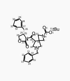 CC(C)(C)OC(=O)N1CC2(CN(Cc3ccccc3)CC2C(=O)N2C(=O)OC[C@@H]2Cc2ccccc2)C1